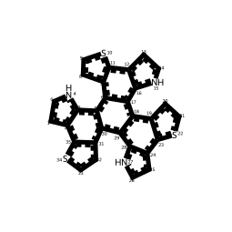 c1cc2c([nH]1)c1c3c4ccsc4c4cc[nH]c4c3c3c4ccsc4c4cc[nH]c4c3c1c1ccsc21